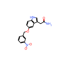 NC(=O)Cc1c[nH]c2ccc(OCc3cccc([N+](=O)[O-])c3)cc12